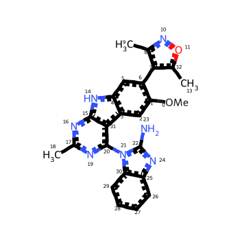 COc1cc2c(cc1-c1c(C)noc1C)[nH]c1nc(C)nc(-n3c(N)nc4ccccc43)c12